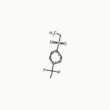 CCS(=O)(=O)c1ccc(C(F)(F)F)cc1